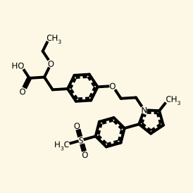 CCOC(Cc1ccc(OCCn2c(C)ccc2-c2ccc(S(C)(=O)=O)cc2)cc1)C(=O)O